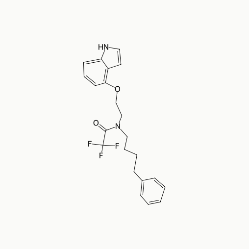 O=C(N(CCCCc1ccccc1)CCOc1cccc2[nH]ccc12)C(F)(F)F